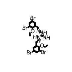 CCOc1c(Br)cc(Br)cc1C=NNC(=N)NN=Cc1cc(Br)cc(Br)c1OCC